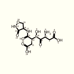 N[C@@H](CC(=O)O)C(=O)N(O)[C@@H](CC(=O)O)C(=O)NC1CONC1=O